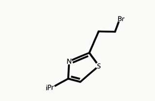 CC(C)c1csc(CCBr)n1